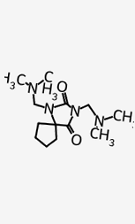 CN(C)CN1C(=O)N(CN(C)C)C2(CCCC2)C1=O